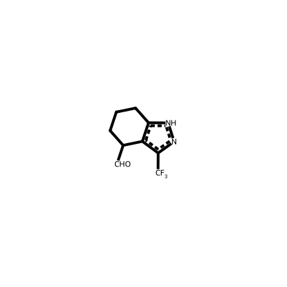 O=CC1CCCc2[nH]nc(C(F)(F)F)c21